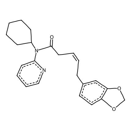 O=C(C/C=C\Cc1ccc2c(c1)OCO2)N(c1ccccn1)C1CCCCC1